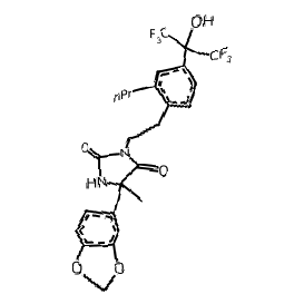 CCCc1cc(C(O)(C(F)(F)F)C(F)(F)F)ccc1CCN1C(=O)NC(C)(c2ccc3c(c2)OCO3)C1=O